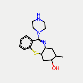 CC1CC2N=C(N3CCNCC3)c3ccccc3SC2CC1O